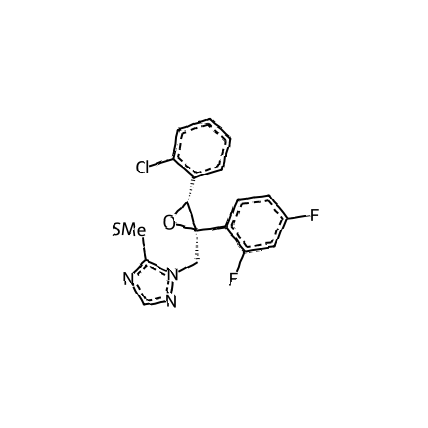 CSc1ncnn1C[C@]1(c2ccc(F)cc2F)O[C@@H]1c1ccccc1Cl